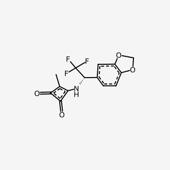 Cc1c(N[C@@H](c2ccc3c(c2)OCO3)C(F)(F)F)c(=O)c1=O